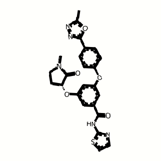 Cc1nnc(-c2ccc(Oc3cc(O[C@@H]4CCN(C)C4=O)cc(C(=O)Nc4nccs4)c3)cc2)o1